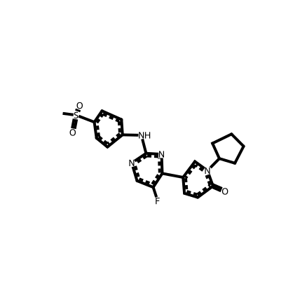 CS(=O)(=O)c1ccc(Nc2ncc(F)c(-c3ccc(=O)n(C4CCCC4)c3)n2)cc1